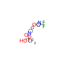 O=C(OC(CO)C(F)(F)F)N1CCC2(CC1)CC(Oc1ccc(C(F)F)nc1)C2